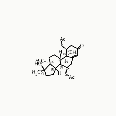 CC(=O)S[C@H]1CC(=O)C=C2C[C@@H](SC(C)=O)[C@@H]3[C@H](CC[C@@]4(C)[C@H]3CC[C@]4(C)O)[C@]21C